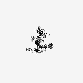 CCC(C)C(C(CC(=O)N1CCCC1C(OC)C(C)C(=O)NC(C)C(O)c1ccccc1)OC)N(C)C(=O)C(NC(=O)C(C(C)C)N(C)C(=O)OCc1ccc(O[C@H]2O[C@H](C(=O)O)[C@@H](O)[C@H](O)[C@H]2O)c(NC(=O)CCNC(=O)CCCC(=O)ON2CCCC2=O)c1)C(C)C